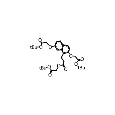 CC(C)(C)OC(=O)COC(=O)CCc1c(OCC(=O)OC(C)(C)C)ccc2ccc(OCC(=O)OC(C)(C)C)cc12